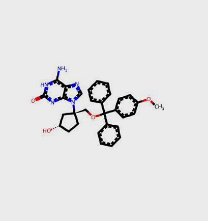 COc1ccc(C(OC[C@@]2(n3cnc4c(N)[nH]c(=O)nc43)CC[C@H](O)C2)(c2ccccc2)c2ccccc2)cc1